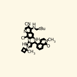 Cn1ccc2c([C@H](Nc3cc(Cl)c4ncc(C#N)c(NCC(C)(C)C)c4c3)C3=CN(C4(C)CCC4)NN3)cccc2c1=O